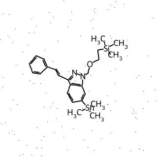 C[Si](C)(C)CCOCn1nc(/C=C/c2ccccc2)c2cc[c]([Sn]([CH3])([CH3])[CH3])cc21